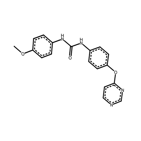 COc1ccc(NC(=O)Nc2ccc(Oc3ccncn3)cc2)cc1